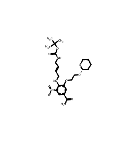 CC(C)(C)OC(=O)NC/C=C/CNc1c(OCCO[C@H]2CCCCO2)cc(C(N)=O)cc1[N+](=O)[O-]